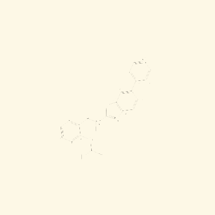 FC(F)Oc1ccccc1CNc1nc2ccc(-c3ccncc3)cc2s1